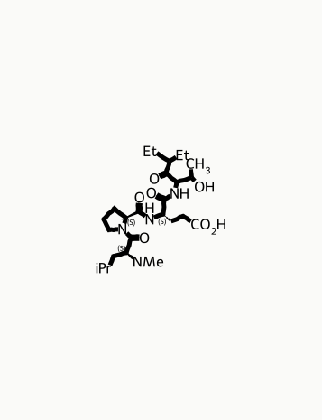 CCC(CC)C(=O)C(NC(=O)[C@H](CCC(=O)O)NC(=O)[C@@H]1CCCN1C(=O)[C@H](CC(C)C)NC)C(C)O